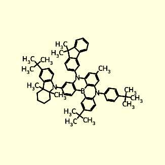 Cc1cc2c3c(c1)N(c1ccc4c(c1)-c1ccccc1C4(C)C)c1cc(N4c5ccc(C(C)(C)C)cc5C5(C)CCCCC45C)ccc1B3c1cc(C(C)(C)C)ccc1N2c1ccc(C(C)(C)C)cc1